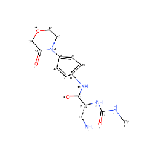 CC(C)NC(=O)N[C@H](CN)C(=O)Nc1ccc(N2CCOCC2=O)cc1